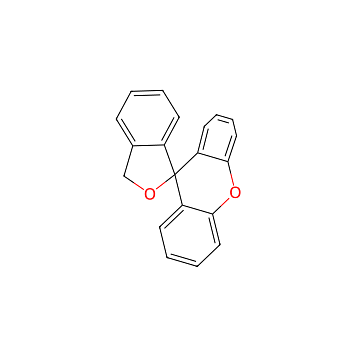 c1ccc2c(c1)COC21c2ccccc2Oc2ccccc21